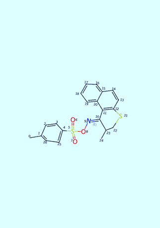 Cc1ccc(S(=O)(=O)O/N=C2/c3c(ccc4ccccc34)SCC2C)cc1